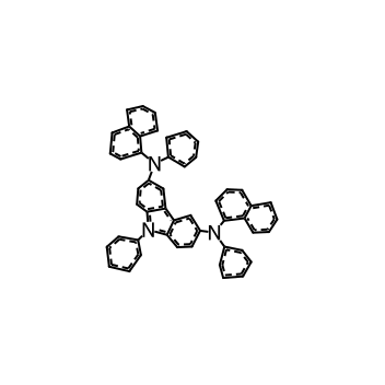 c1ccc(N(c2ccc3c(c2)c2cc(N(c4ccccc4)c4cccc5ccccc45)ccc2n3-c2ccccc2)c2cccc3ccccc23)cc1